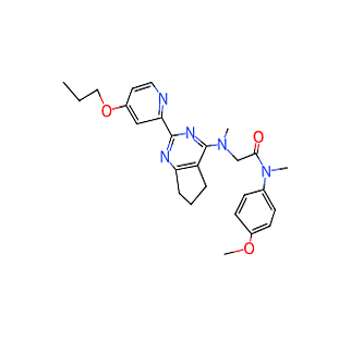 CCCOc1ccnc(-c2nc3c(c(N(C)CC(=O)N(C)c4ccc(OC)cc4)n2)CCC3)c1